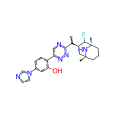 C=C(c1ncc(-c2ccc(-n3ccnc3)cc2O)nn1)[C@@H]1C[C@@]2(C)CCC[C@](C)(N2)[C@@H]1F